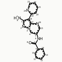 Nc1nn2cc(NC(=O)c3ccccc3)cnc2c1-c1ccccn1